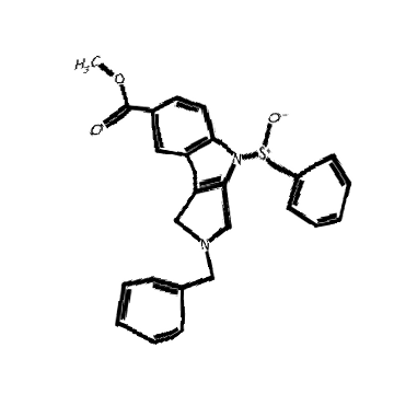 COC(=O)c1ccc2c(c1)c1c(n2[S+]([O-])c2ccccc2)CN(Cc2ccccc2)C1